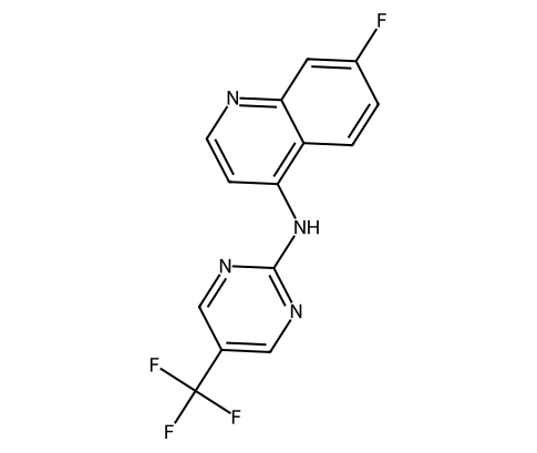 Fc1ccc2c(Nc3ncc(C(F)(F)F)cn3)ccnc2c1